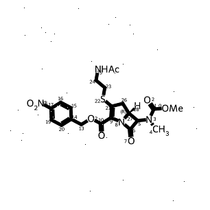 COC(=O)N(C)C1C(=O)N2C(C(=O)OCc3ccc([N+](=O)[O-])cc3)=C(SCCNC(C)=O)C[C@H]12